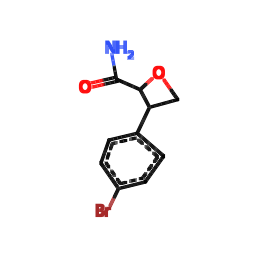 NC(=O)C1OCC1c1ccc(Br)cc1